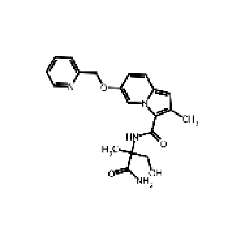 Cc1cc2ccc(OCc3ccccn3)cn2c1C(=O)NC(C)(CO)C(N)=O